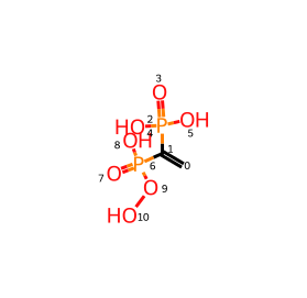 C=C(P(=O)(O)O)P(=O)(O)OO